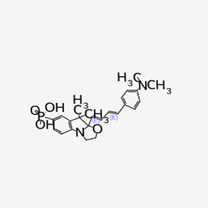 CN(C)c1ccc(/C=C/C=C/C23OCCN2c2ccc(P(=O)(O)O)cc2C3(C)C)cc1